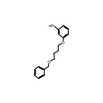 CCCc1cccc(OCCCCOCc2ccccc2)c1